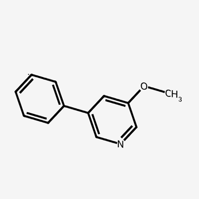 COc1cncc(-c2c[c]ccc2)c1